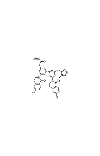 COC(=O)Cc1cncc(N2CCc3cc(Cl)ccc3C2=O)c1.Cn1cnnc1Cc1cncc(N2CCc3cc(Cl)ccc3C2=O)c1